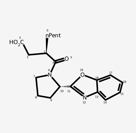 CCCCC[C@H](CC(=O)O)C(=O)N1CCC[C@H]1c1nc2ccccc2o1